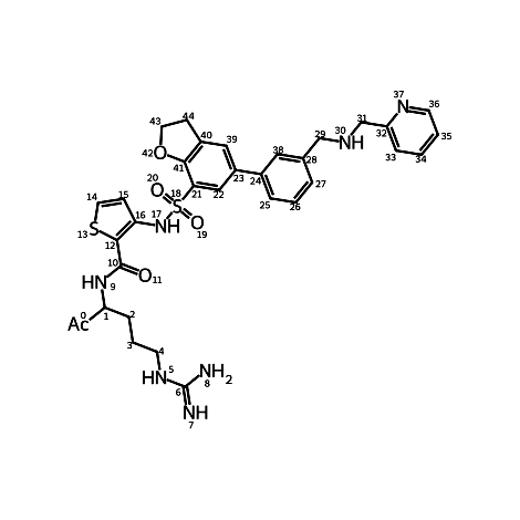 CC(=O)C(CCCNC(=N)N)NC(=O)c1sccc1NS(=O)(=O)c1cc(-c2cccc(CNCc3ccccn3)c2)cc2c1OCC2